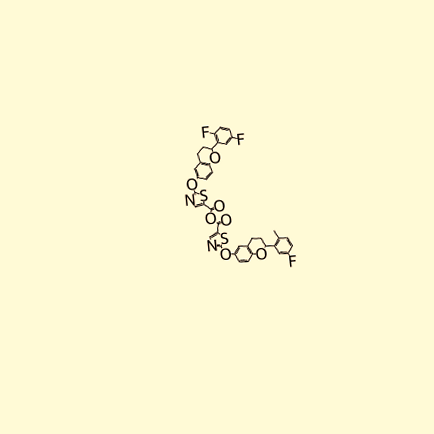 Cc1ccc(F)cc1C1CCc2cc(Oc3ncc(C(=O)OC(=O)c4cnc(Oc5ccc6c(c5)CCC(c5cc(F)ccc5F)O6)s4)s3)ccc2O1